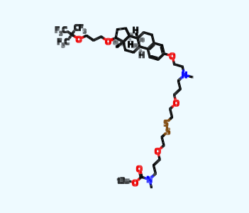 CN(CCCOCCSSCCOCCCN(C)C(=O)OC(C)(C)C)CCOc1ccc2c(c1)CC[C@@H]1[C@@H]2CC[C@]2(C)[C@@H](OCCCOC(C(F)(F)F)(C(F)(F)F)C(F)(F)F)CC[C@@H]12